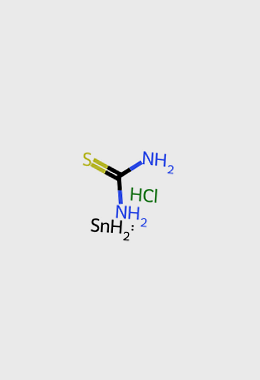 Cl.NC(N)=S.[SnH2]